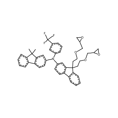 CC1(C)c2ccccc2-c2ccc(N(c3cccc(C(F)(F)F)c3)c3ccc4c(c3)C(CCOCC3CO3)(CCOCC3CO3)c3ccccc3-4)cc21